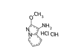 COc1nn2ccccc2c1N.Cl.Cl